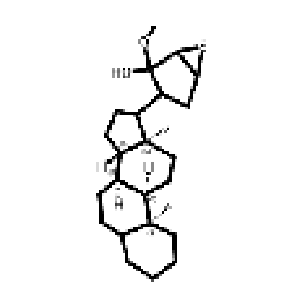 COC1(O)C(C2CC[C@H]3[C@@H]4CCC5CCCC[C@]5(C)[C@@H]4CC[C@]23C)CC2SC21